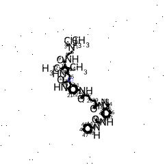 CCN(CC)CCNC(=O)c1c(C)[nH]c(/C=C2\C(=O)Nc3ccc(NC(=O)CCCC(=O)n4ncc5ccc(NC(=O)Nc6ccccc6)cc54)cc32)c1C